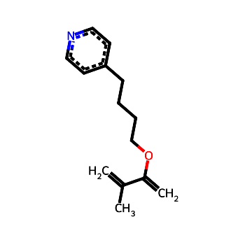 C=C(C)C(=C)OCCCCc1ccncc1